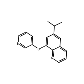 CC(C)c1cc(Oc2cccnc2)c2ncccc2c1